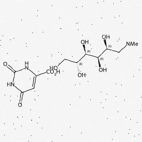 CNC[C@H](O)[C@@H](O)[C@H](O)[C@H](O)CO.O=C(O)c1cc(=O)[nH]c(=O)[nH]1